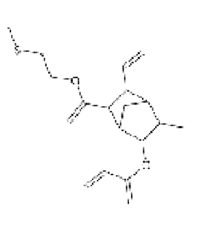 C=CC(=C)OC1C(C)C2CC1C(C(=C)OCCSC)C2C=C